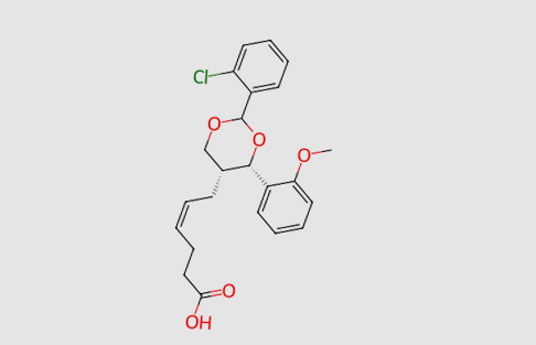 COc1ccccc1[C@H]1OC(c2ccccc2Cl)OC[C@H]1C/C=C\CCC(=O)O